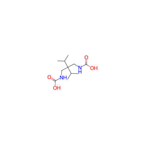 CC(C)C(CNC(=O)O)(CNC(=O)O)C(C)C